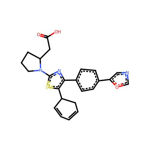 O=C(O)CC1CCCN1c1nc(-c2ccc(-c3cnco3)cc2)c(C2C=CC=CC2)s1